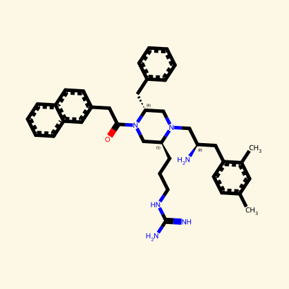 Cc1ccc(C[C@@H](N)CN2C[C@@H](Cc3ccccc3)N(C(=O)Cc3ccc4ccccc4c3)C[C@@H]2CCCNC(=N)N)c(C)c1